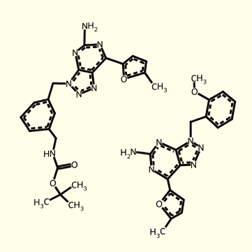 COc1ccccc1Cn1nnc2c(-c3ccc(C)o3)nc(N)nc21.Cc1ccc(-c2nc(N)nc3c2nnn3Cc2cccc(CNC(=O)OC(C)(C)C)c2)o1